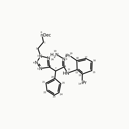 CCCCCCCCCCCCn1nnc(C(C(=NN)Nc2c(C(C)C)cccc2C(C)C)c2ccccc2)n1